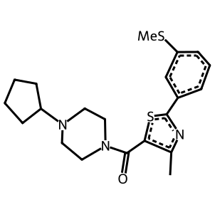 CSc1cccc(-c2nc(C)c(C(=O)N3CCN(C4CCCC4)CC3)s2)c1